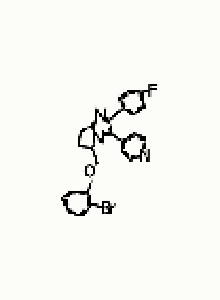 Fc1ccc(-c2nc3n(c2-c2ccncc2)C(COCc2ccccc2Br)CC3)cc1